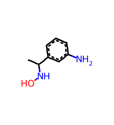 CC(NO)c1cccc(N)c1